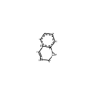 [CH]1N=Cc2ccccc2O1